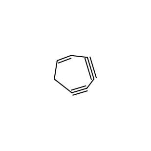 C1#CC=CCC#C1